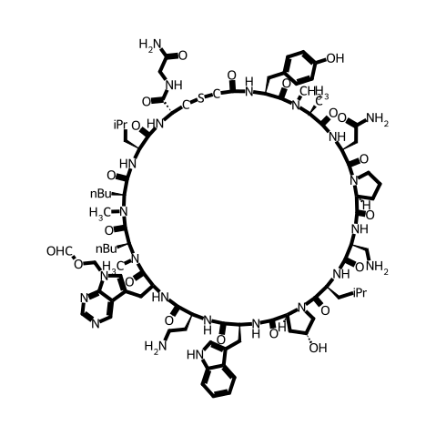 CCCC[C@H]1C(=O)N(C)[C@@H](CCCC)C(=O)N[C@@H](CC(C)C)C(=O)N[C@H](C(=O)NCC(N)=O)CSCC(=O)N[C@@H](Cc2ccc(O)cc2)C(=O)N(C)[C@@H](C)C(=O)N[C@@H](CC(N)=O)C(=O)N2CCC[C@H]2C(=O)N[C@@H](CN)C(=O)N[C@@H](CC(C)C)C(=O)N2C[C@H](O)C[C@H]2C(=O)N[C@@H](Cc2c[nH]c3ccccc23)C(=O)N[C@@H](CCN)C(=O)NC(Cc2cn(COC=O)c3ncncc23)C(=O)N1C